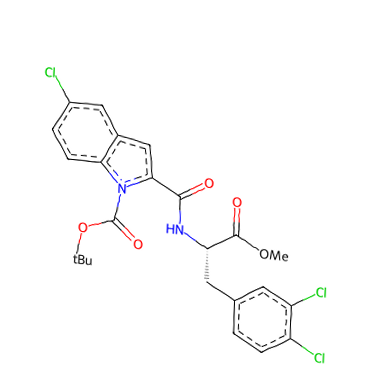 COC(=O)[C@H](Cc1ccc(Cl)c(Cl)c1)NC(=O)c1cc2cc(Cl)ccc2n1C(=O)OC(C)(C)C